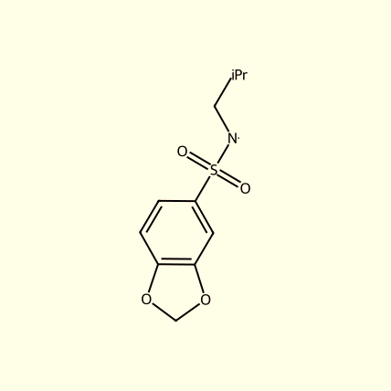 CC(C)C[N]S(=O)(=O)c1ccc2c(c1)OCO2